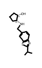 CC(C)c1nc2ccc(CN[C@@H]3CCC[C@@H]3O)cc2s1